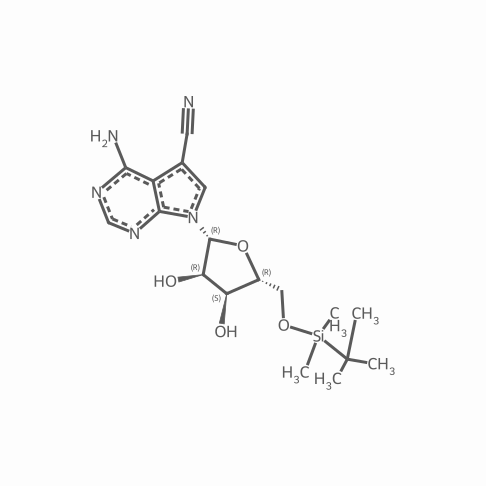 CC(C)(C)[Si](C)(C)OC[C@H]1O[C@@H](n2cc(C#N)c3c(N)ncnc32)[C@H](O)[C@@H]1O